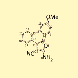 COc1ccc(-c2oc(N)c(C#N)c2-c2ccccc2)cc1